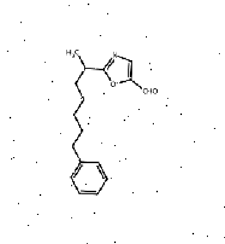 CC(CCCCCc1ccccc1)c1ncc(C=O)o1